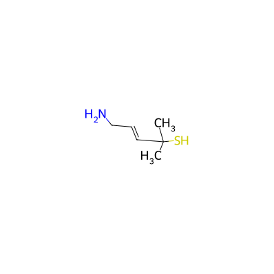 CC(C)(S)/C=C/CN